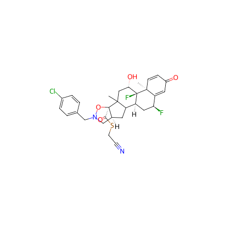 CC12C[C@H](O)[C@@]3(F)[C@@H](C[C@H](F)C4=CC(=O)C=C[C@@]43C)C1C[C@H]1CN(Cc3ccc(Cl)cc3)O[C@]12C(=O)SCC#N